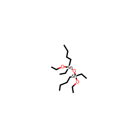 CCC[CH2][Sn]([CH2]C)([O]CC)[O][Sn]([CH2]C)([CH2]CCC)[O]CC